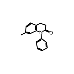 Cc1ccc2c(c1)N(c1ccccc1)C(=O)CC2